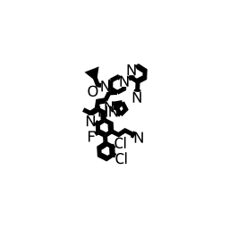 Cc1nc2c(F)c(-c3cccc(Cl)c3Cl)c(CCC#N)cc2c2c1cc(C1C3CC(CN(c4ncccc4C#N)C3)N1C(=O)C1CC1)n2C1C2CNC1C2